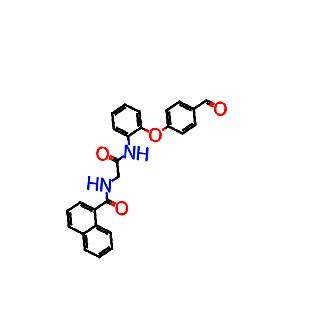 O=Cc1ccc(Oc2ccccc2NC(=O)CNC(=O)c2cccc3ccccc23)cc1